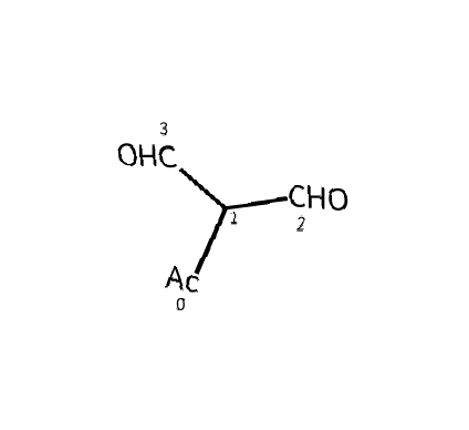 CC(=O)C(C=O)C=O